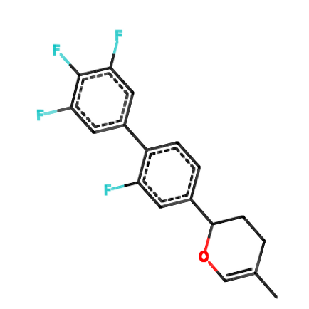 CC1=COC(c2ccc(-c3cc(F)c(F)c(F)c3)c(F)c2)CC1